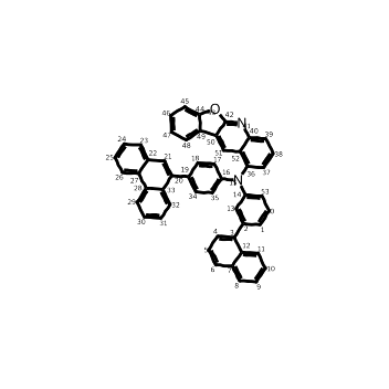 c1cc(-c2cccc3ccccc23)cc(N(c2ccc(-c3cc4ccccc4c4ccccc34)cc2)c2cccc3nc4oc5ccccc5c4cc23)c1